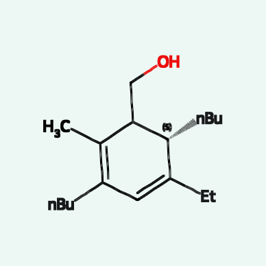 CCCCC1=C(C)C(CO)[C@H](CCCC)C(CC)=C1